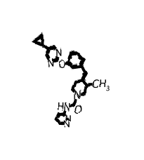 CC1CN(C(=O)Nc2cccnn2)CCC1=Cc1cccc(Oc2ncc(C3CC3)cn2)c1